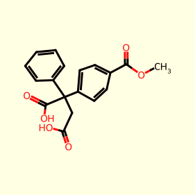 COC(=O)c1ccc(C(CC(=O)O)(C(=O)O)c2ccccc2)cc1